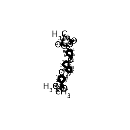 CN1CC(=O)OB(c2ccc(O[C@@H]3CCc4c(Oc5ccc(C(=O)N(C)C)cc5)cccc43)cc2)OC(=O)C1